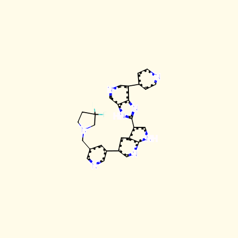 FC1(F)CCN(Cc2cncc(-c3cnc4[nH]cc(-c5nc6c(-c7ccncc7)cncc6[nH]5)c4c3)c2)C1